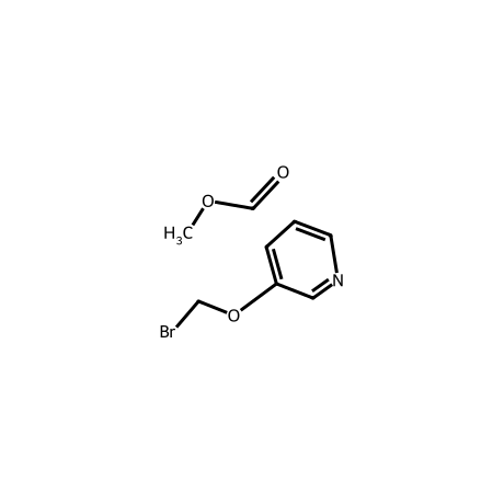 BrCOc1cccnc1.COC=O